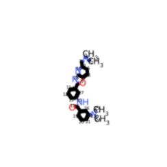 CN(C)CC1CC=c2oc(-c3cccc(NC(=O)c4cccc(N(C)C)c4)c3)nc2=N1